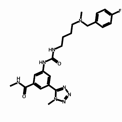 CNC(=O)c1cc(NC(=O)NCCCCN(C)Cc2ccc(F)cc2)cc(-c2nnnn2C)c1